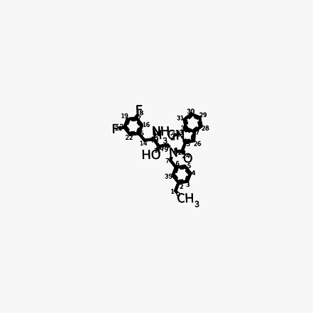 CCc1cccc(CN(C[C@@H](O)[C@@H](N)Cc2cc(F)cc(F)c2)C(=O)c2cc3ccccc3n2C)c1